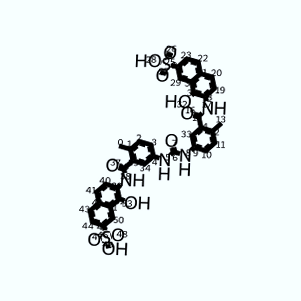 Cc1ccc(NC(=O)Nc2ccc(C)c(C(=O)Nc3ccc4ccc(S(=O)(=O)O)cc4c3O)c2)cc1C(=O)Nc1ccc2ccc(S(=O)(=O)O)cc2c1O